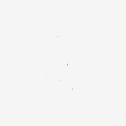 CCCCCCCCCCCCCC(c1[nH]cc[n+]1C(C)CCCCCCC)C(C)C